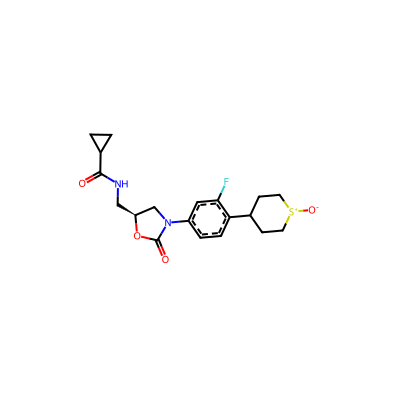 O=C(NC[C@H]1CN(c2ccc(C3CC[S+]([O-])CC3)c(F)c2)C(=O)O1)C1CC1